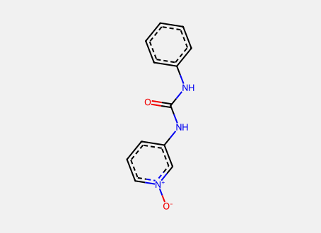 O=C(Nc1ccccc1)Nc1ccc[n+]([O-])c1